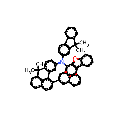 CC1(C)c2ccccc2-c2ccc(N(c3ccc4c(c3)-c3c(-c5ccc6ccccc6c5)ccc5cccc(c35)C4(C)C)c3cccc4c3oc3ccccc34)cc21